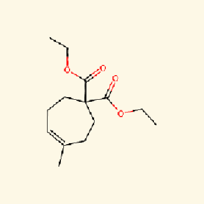 CCOC(=O)C1(C(=O)OCC)CCC=C(C)CC1